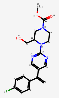 C=C(c1ccc(F)cc1)c1cnc(N2CCN(C(=O)OC(C)(C)C)CC2CO)nc1